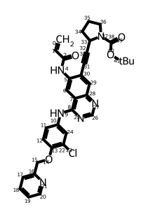 C=CC(=O)Nc1cc2c(Nc3ccc(OCc4ccccn4)c(Cl)c3)ncnc2cc1C#CC1CCCN1C(=O)OC(C)(C)C